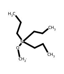 [CH2]O[Si](CCC)(CCC)CCC